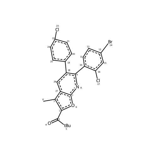 Cc1c(C(=O)C(C)(C)C)oc2nc(-c3ccc(Br)cc3Cl)c(-c3ccc(Cl)cc3)cc12